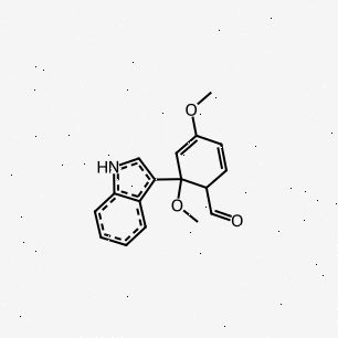 COC1=CC(OC)(c2c[nH]c3ccccc23)C(C=O)C=C1